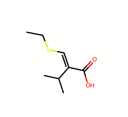 CCS/C=C(/C(=O)O)C(C)C